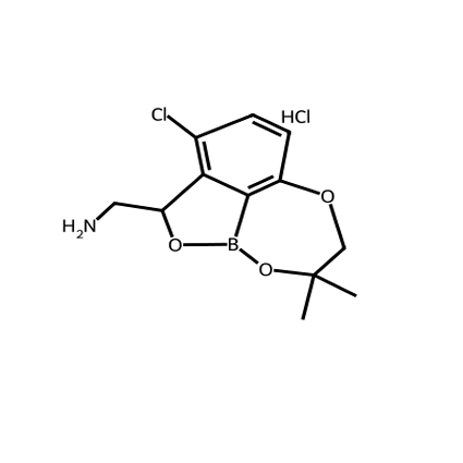 CC1(C)COc2ccc(Cl)c3c2B(OC3CN)O1.Cl